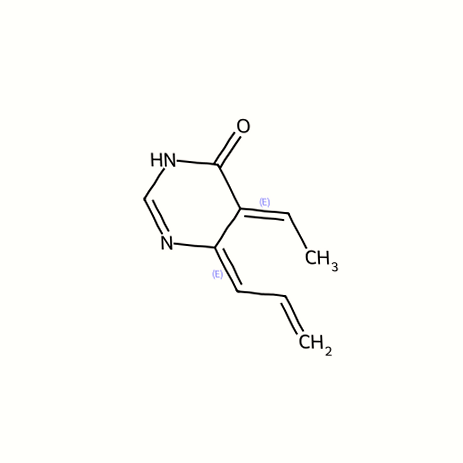 C=C/C=c1/nc[nH]c(=O)/c1=C/C